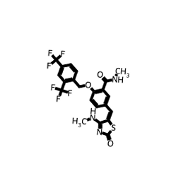 CNC(=O)c1cc(C=C2SC(=O)N=C2NC)ccc1OCc1ccc(C(F)(F)F)cc1C(F)(F)F